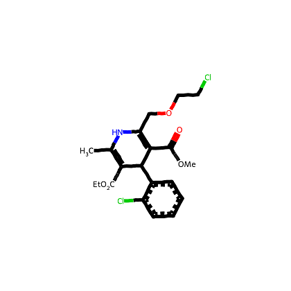 CCOC(=O)C1=C(C)NC(COCCCl)=C(C(=O)OC)C1c1ccccc1Cl